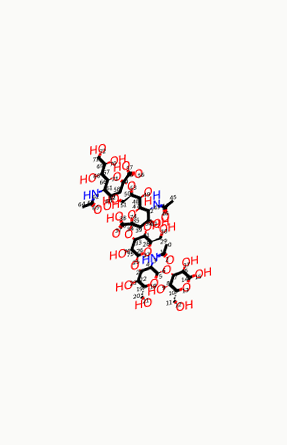 CC(=O)N[C@H]1[C@H](O[C@H]2[C@@H](O)[C@@H](CO)OC(O)[C@@H]2O)O[C@H](CO)[C@@H](O)[C@@H]1O[C@@H]1O[C@H](CO)[C@H](O)[C@H](O[C@]2(C(=O)O)C[C@H](O)[C@@H](NC(C)=O)[C@H]([C@H](O)[C@@H](CO)O[C@]3(C(=O)O)C[C@H](O)[C@@H](NC(C)=O)[C@H]([C@H](O)[C@H](O)CO)O3)O2)[C@H]1O